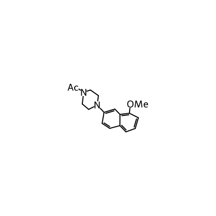 COc1cccc2ccc(N3CCN(C(C)=O)CC3)cc12